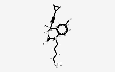 C[C@@]1(C#CC2CC2)OC(=O)N(CCCCC=O)c2ccc(I)cc21